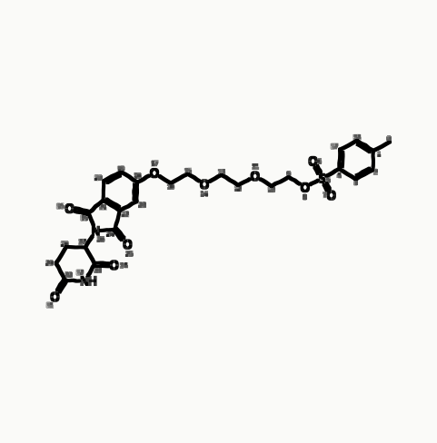 Cc1ccc(S(=O)(=O)OCCOCCOCCOc2ccc3c(c2)C(=O)N(C2CCC(=O)NC2=O)C3=O)cc1